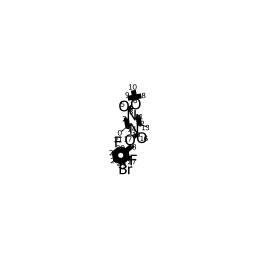 C[C@@H]1CN(C(=O)OC(C)(C)C)C[C@H](C)N1C(=O)OCc1c(F)ccc(Br)c1F